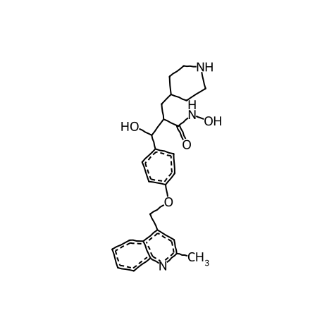 Cc1cc(COc2ccc(C(O)C(CC3CCNCC3)C(=O)NO)cc2)c2ccccc2n1